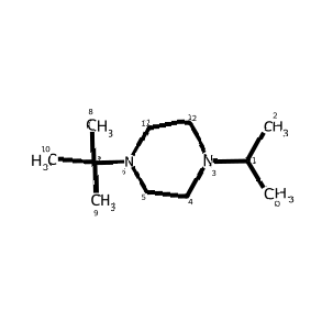 CC(C)N1CCN(C(C)(C)C)CC1